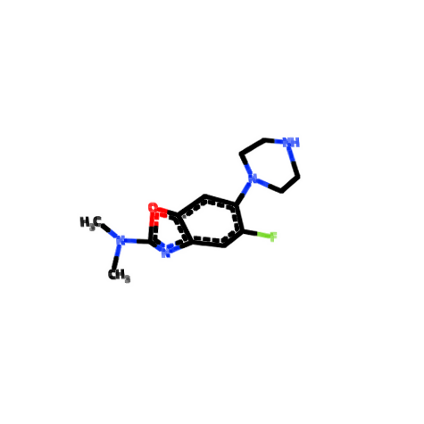 CN(C)c1nc2cc(F)c(N3CCNCC3)cc2o1